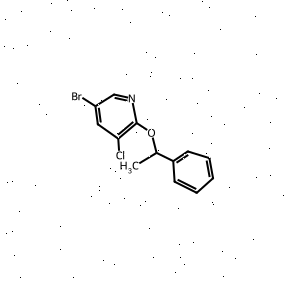 CC(Oc1ncc(Br)cc1Cl)c1ccccc1